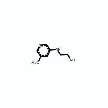 COc1cncc(NCCN)c1